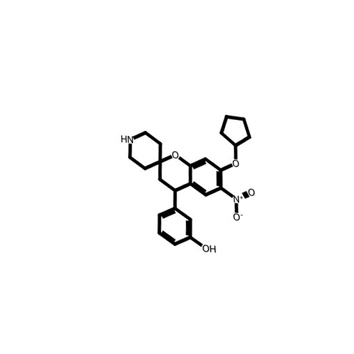 O=[N+]([O-])c1cc2c(cc1OC1CCCC1)OC1(CCNCC1)CC2c1cccc(O)c1